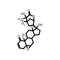 CC12CC(OC(=O)C1(C)O)C(C1(O)CCC3C4CC5OC56CC=CC(=O)C6(C)C4CCC31C)C2